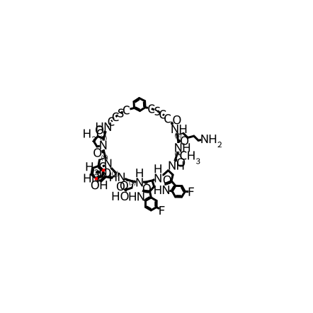 C[C@H]1NC(=O)[C@H](CCCCN)NC(=O)CCSCc2cccc(c2)CSCCNC(=O)[C@]2(C)CCCN2C(=O)[C@H](Cc2ccc(O)cc2)N(C)C(=O)[C@H](Cc2c[nH]cn2)NC(=O)[C@H](CC(=O)O)NC(=O)C(Cc2c[nH]c3ccc(F)cc23)NC(=O)C(Cc2c[nH]c3ccc(F)cc23)NC1=O